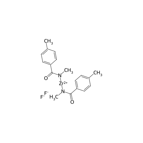 Cc1ccc(C(=O)[N](C)[Zr+2][N](C)C(=O)c2ccc(C)cc2)cc1.[F-].[F-]